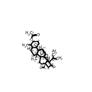 CC(=O)O[C@H]1CC[C@]2(C)[C@H]3CC[C@@H]4C5=C(C(C)C)C(=O)C[C@]5(C=O)CC[C@@]4(C)[C@]3(C)CC[C@H]2[C@H]1C